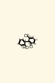 Oc1c[c]ccc1-c1c(Cl)cccc1Cl